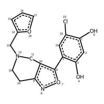 Oc1cc(O)c(-c2onc3c2CN(Cc2ccco2)CC3)cc1Cl